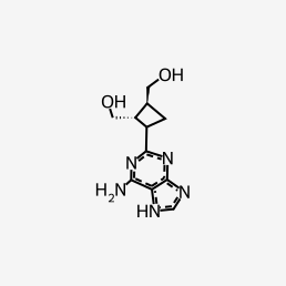 Nc1nc(C2C[C@H](CO)[C@H]2CO)nc2nc[nH]c12